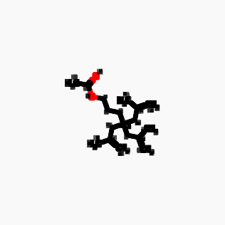 C=C(C)C[Si](CCCOC(C)=O)(CC(=C)C)CC(=C)C